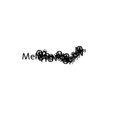 CNS(=O)(=O)c1cccc(OC[C@@H](O)CNC2COC3(CCN(S(=O)(=O)c4cccc(-c5ccc(-c6noc(C)n6)cc5)c4)CC3)C2)c1